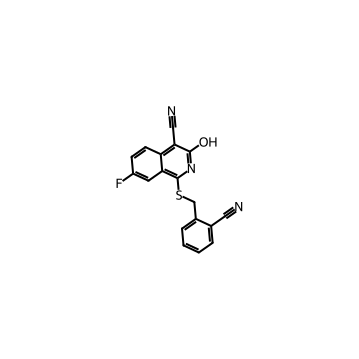 N#Cc1ccccc1CSc1nc(O)c(C#N)c2ccc(F)cc12